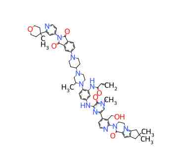 C=CC(=O)Nc1cc(Nc2nc(-c3ccnc(N4CCn5c(cc6c5CC(C)(C)C6)C4=O)c3CO)cn(C)c2=O)ccc1N1CCN(C2CCN(c3ccc4c(c3)C(=O)N(c3ccnc(C5(C)CCOCC5)c3)C4=O)CC2)C[C@@H]1C